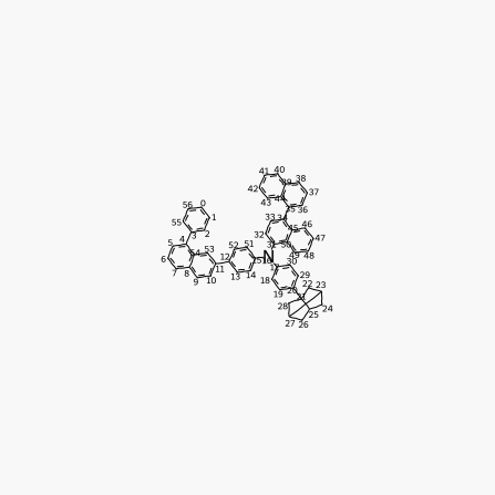 c1ccc(-c2cccc3ccc(-c4ccc(N(c5ccc(C67CC8CC6CC8C7)cc5)c5ccc(-c6cccc7ccccc67)c6ccccc56)cc4)cc23)cc1